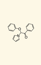 O=C(c1ccccc1)C(Oc1ccccc1)n1cccc1